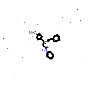 COc1ccc([C@H](C#Cc2ccccc2)CC(=O)Nc2ccccc2)cc1